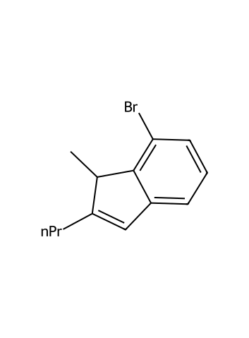 CCCC1=Cc2cccc(Br)c2C1C